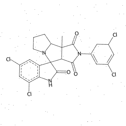 CC12C(=O)N(C3=CC(Cl)=CC(Cl)C3)C(=O)C1C1(C(=O)Nc3c(Cl)cc(Cl)cc31)N1CCCC12